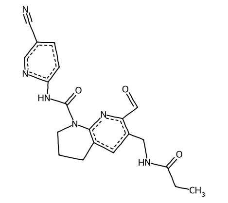 CCC(=O)NCc1cc2c(nc1C=O)N(C(=O)Nc1ccc(C#N)cn1)CCC2